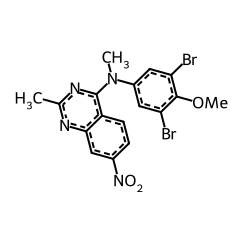 COc1c(Br)cc(N(C)c2nc(C)nc3cc([N+](=O)[O-])ccc23)cc1Br